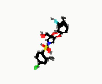 N#Cc1ccc(O[C@H]2CN(S(=O)(=O)c3ccc(Cl)cc3C#N)C[C@]2(O)CO)cc1F